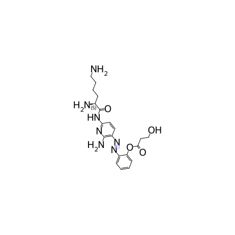 NCCCC[C@H](N)C(=O)Nc1ccc(/N=N/c2ccccc2OC(=O)CCO)c(N)n1